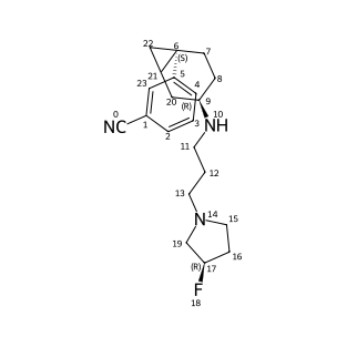 N#Cc1cccc([C@]23CC[C@@H](NCCCN4CC[C@@H](F)C4)CC2C3)c1